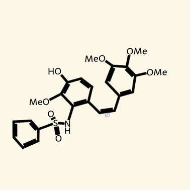 COc1cc(/C=C\c2ccc(O)c(OC)c2NS(=O)(=O)c2ccccc2)cc(OC)c1OC